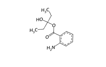 CCC(O)(CC)OC(=O)c1ccccc1N